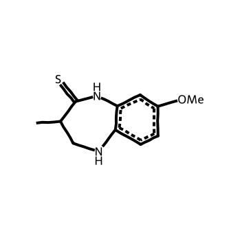 COc1ccc2c(c1)NC(=S)C(C)CN2